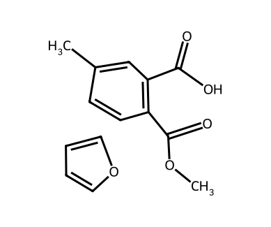 COC(=O)c1ccc(C)cc1C(=O)O.c1ccoc1